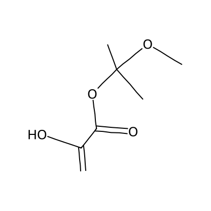 C=C(O)C(=O)OC(C)(C)OC